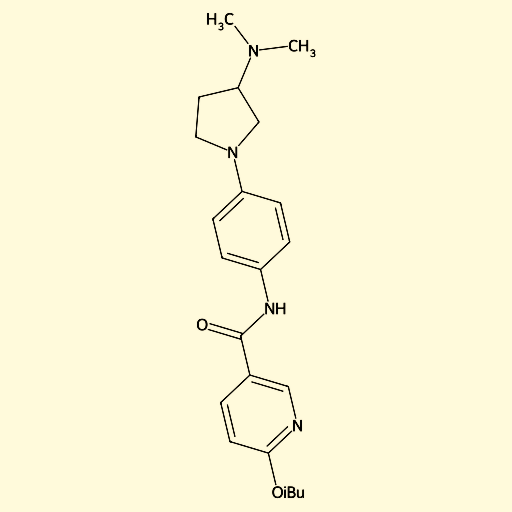 CC(C)COc1ccc(C(=O)Nc2ccc(N3CCC(N(C)C)C3)cc2)cn1